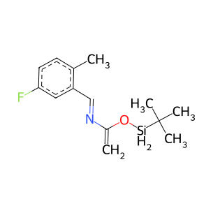 C=C(/N=C/c1cc(F)ccc1C)O[SiH2]C(C)(C)C